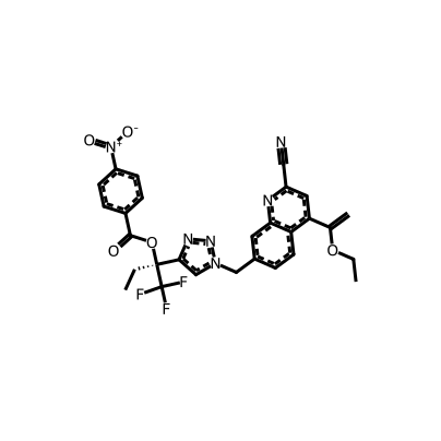 C=C(OCC)c1cc(C#N)nc2cc(Cn3cc([C@](CC)(OC(=O)c4ccc([N+](=O)[O-])cc4)C(F)(F)F)nn3)ccc12